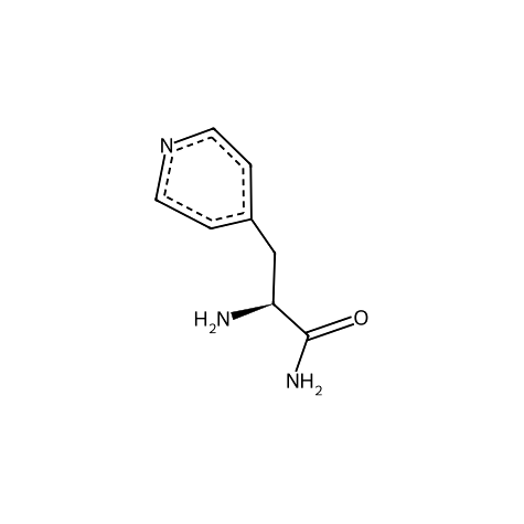 NC(=O)[C@@H](N)Cc1ccncc1